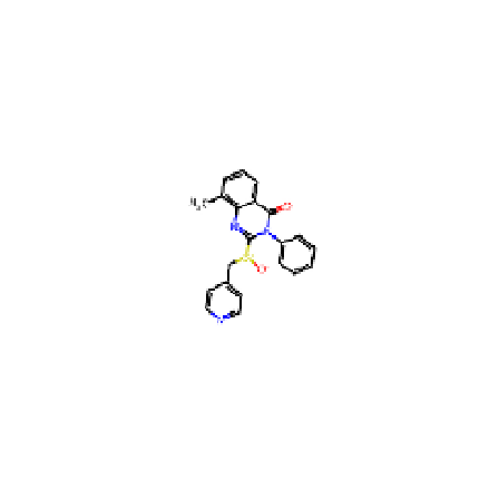 Cc1cccc2c(=O)n(-c3ccccc3)c([S+]([O-])Cc3ccncc3)nc12